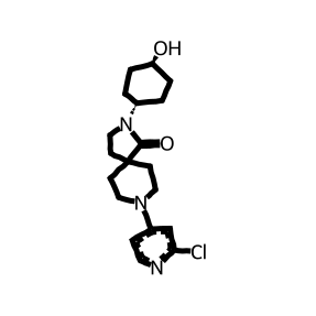 O=C1N([C@H]2CC[C@H](O)CC2)CCC12CCN(c1ccnc(Cl)c1)CC2